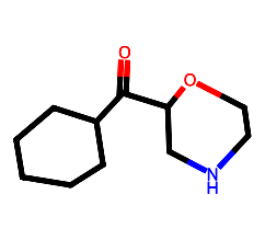 O=C(C1CCCCC1)C1CNCCO1